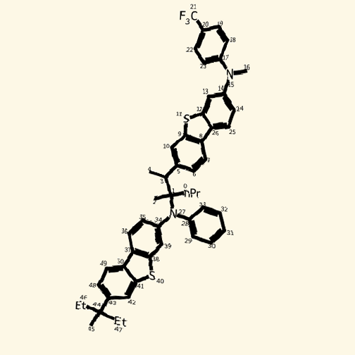 CCCC(C)(C(C)c1ccc2c(c1)sc1cc(N(C)c3ccc(C(F)(F)F)cc3)ccc12)N(c1ccccc1)c1ccc2c(c1)sc1cc(C(C)(CC)CC)ccc12